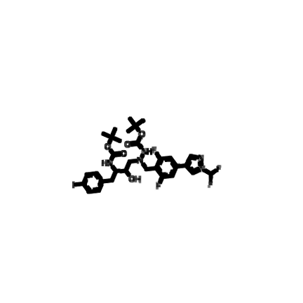 CC(C)(C)OC(=O)NC(Cc1ccc(I)cc1)C(O)CN(Cc1c(F)cc(-c2cnn(C(F)F)c2)cc1F)NC(=O)OC(C)(C)C